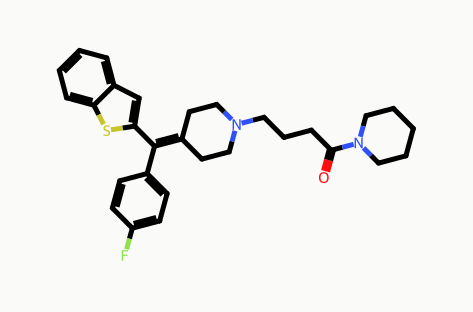 O=C(CCCN1CCC(=C(c2ccc(F)cc2)c2cc3ccccc3s2)CC1)N1CCCCC1